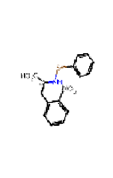 O=C(O)[C@H](Cc1ccccc1[N+](=O)[O-])NSc1ccccc1